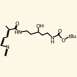 C=N/C=C\C=C(/C)C(=O)NCCC(O)CCNC(=O)OC(C)(C)C